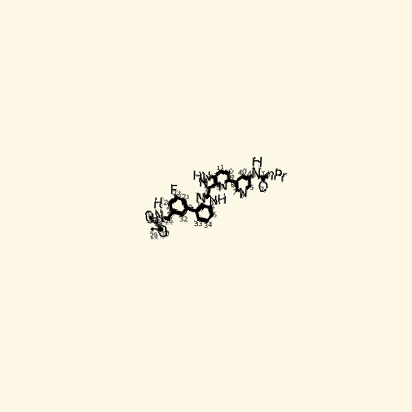 CCCC(=O)Nc1cncc(-c2ccc3[nH]nc(-c4nc5c(-c6cc(F)cc(CNS(C)(=O)=O)c6)cccc5[nH]4)c3n2)c1